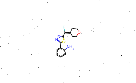 Nc1ccccc1-c1nnc(C(F)=C2CCOCC2)s1